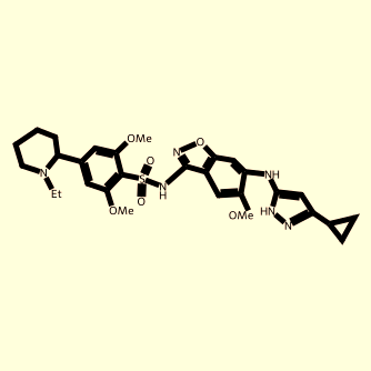 CCN1CCCCC1c1cc(OC)c(S(=O)(=O)Nc2noc3cc(Nc4cc(C5CC5)n[nH]4)c(OC)cc23)c(OC)c1